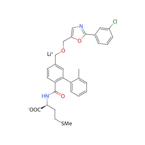 CSCC[C@H](NC(=O)c1ccc(COCc2cnc(-c3cccc(Cl)c3)o2)cc1-c1ccccc1C)C(=O)[O-].[Li+]